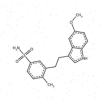 COc1ccc2[nH]cc(CCc3cc(S(N)(=O)=O)ccc3C)c2c1